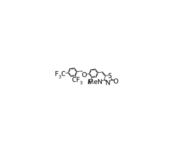 CNC1=NC(=O)SC1=Cc1ccc(OCc2ccc(C(F)(F)F)cc2C(F)(F)F)c(F)c1